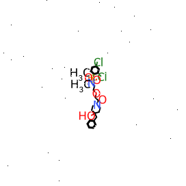 Cc1cc(Cl)cc(Cl)c1S(=O)(=O)N(C)CCOCC(=O)N1CCC(O)(Cc2ccccc2)CC1